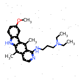 CCN(CC)CCCNc1nccc2c(C)c3[nH]c4ccc(OC)cc4c3c(C)c12